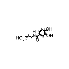 O=C(O)CCNC(=O)c1ccc(O)c(O)c1